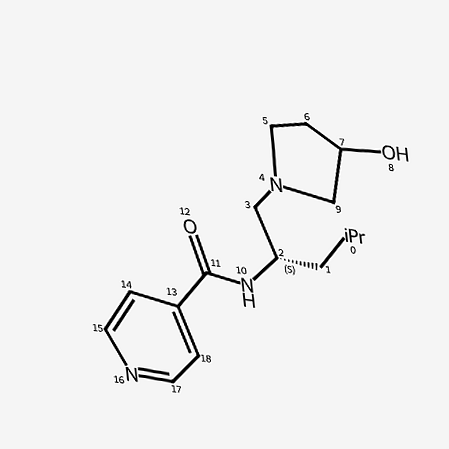 CC(C)C[C@@H](CN1CCC(O)C1)NC(=O)c1ccncc1